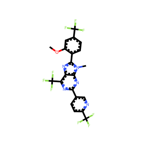 COc1cc(C(F)(F)F)ccc1-c1nc2c(C(F)(F)F)nc(-c3ccc(C(F)(F)F)nc3)nc2n1C